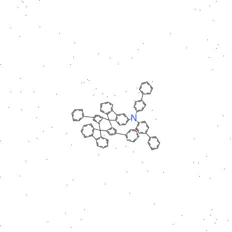 c1ccc(-c2ccc(N(c3ccc(-c4ccccc4)cc3)c3ccc4c(c3)-c3ccccc3C43c4ccc(-c5ccccc5)cc4C4(c5ccccc5-c5ccccc54)c4ccc(-c5ccccc5)cc43)cc2)cc1